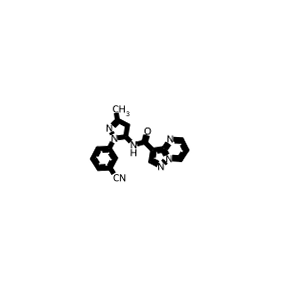 CC1=NN(c2cccc(C#N)c2)C(NC(=O)c2cnn3cccnc23)C1